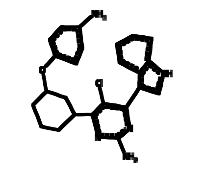 Nc1ccc(OC2CCCC(c3nc(N)nc(-c4c[nH]c5ccccc45)c3Cl)C2)cc1